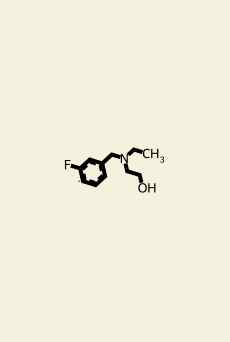 CCN(CCO)Cc1cc[c]c(F)c1